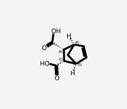 O=C(O)[C@@H]1[C@H](C(=O)O)[C@H]2C=C[C@@H]1C2